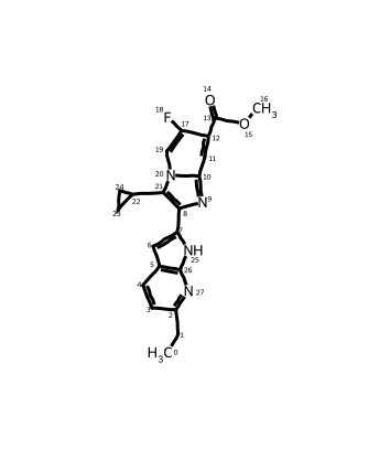 CCc1ccc2cc(-c3nc4cc(C(=O)OC)c(F)cn4c3C3CC3)[nH]c2n1